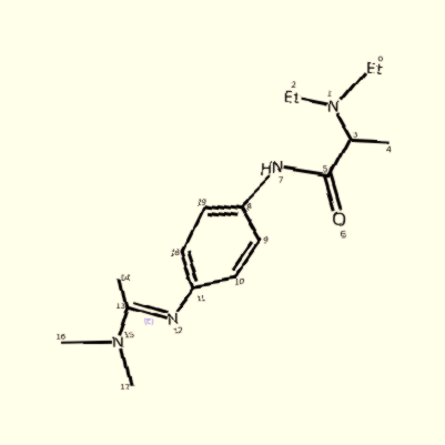 CCN(CC)C(C)C(=O)Nc1ccc(/N=C(\C)N(C)C)cc1